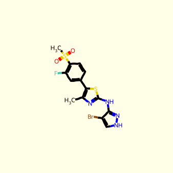 Cc1nc(Nc2n[nH]cc2Br)sc1-c1ccc(S(C)(=O)=O)c(F)c1